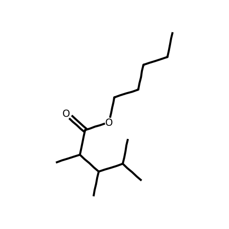 CCCCCOC(=O)C(C)C(C)C(C)C